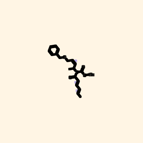 C/C=C/C=C/C(=O)N(C(=O)OC(C)(C)C)C(C)/C=C\COCc1ccccc1